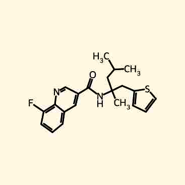 CC(C)CC(C)(Cc1cccs1)NC(=O)c1cnc2c(F)cccc2c1